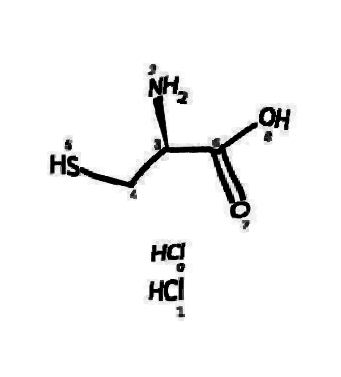 Cl.Cl.N[C@H](CS)C(=O)O